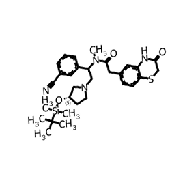 CN(C(=O)Cc1ccc2c(c1)NC(=O)CS2)C(CN1CC[C@H](O[Si](C)(C)C(C)(C)C)C1)c1cccc(C#N)c1